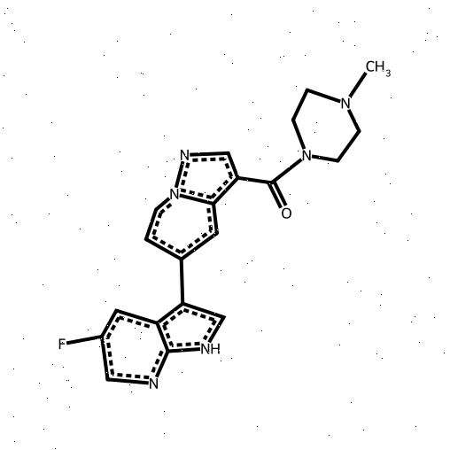 CN1CCN(C(=O)c2cnn3ccc(-c4c[nH]c5ncc(F)cc45)cc23)CC1